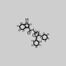 O=C(Cc1nc(-c2ccccc2)c(-c2ccccc2)o1)c1c[nH]c2ccccc12